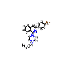 CCN1CCN(c2nc(-c3ccc(Br)cc3)cc3ccccc23)CC1